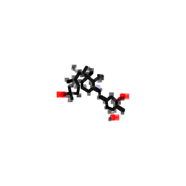 C=C1[C@H](O)CC(=C/C=C2\CCC[C@](C)(C(C)[C@@H](C)[C@H](C)CCC(C)(C)O)C2CC)C[C@H]1O